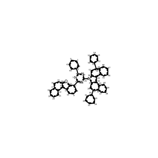 c1ccc(-c2nc(-c3cccc4c3oc3ccc5ccccc5c34)nc(-n3c4cc(-c5ccccc5)c5ccccc5c4c4c5ccccc5c(-c5ccccc5)cc43)n2)cc1